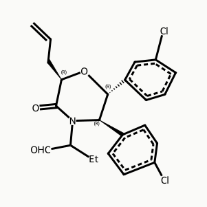 C=CC[C@H]1O[C@H](c2cccc(Cl)c2)[C@@H](c2ccc(Cl)cc2)N(C(C=O)CC)C1=O